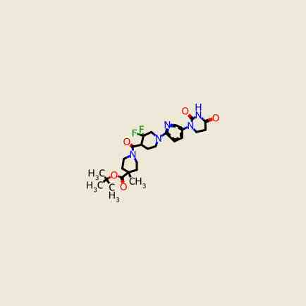 CC(C)(C)OC(=O)C1(C)CCN(C(=O)C2CCN(c3ccc(N4CCC(=O)NC4=O)cn3)CC2(F)F)CC1